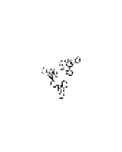 c1ccc(-c2cc(-c3ccccc3)c3c(ccc4cc(-c5nc(-c6ccccc6)nc(-c6cccc(-n7c8ccccc8c8ccccc87)c6)n5)ccc43)n2)cc1